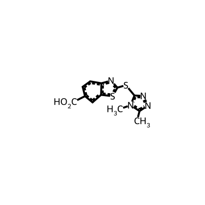 Cc1nnc(Sc2nc3ccc(C(=O)O)cc3s2)n1C